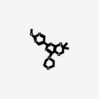 COc1ncc(-c2nc3c(c(N4CCOCC4)n2)OCC(C)(C)O3)cn1